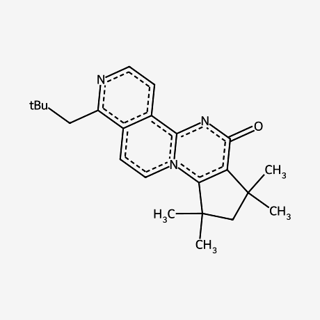 CC(C)(C)Cc1nccc2c1ccn1c3c(c(=O)nc21)C(C)(C)CC3(C)C